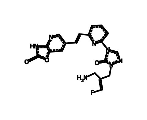 NC/C(=C\F)Cn1ncn(-c2cccc(/C=C/c3cnc4[nH]c(=O)oc4c3)n2)c1=O